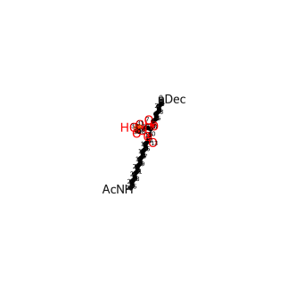 CCCCCCCCCCCCCCCC(=O)O[C@H](COC(=O)CCCCCCCCCCCCNC(C)=O)COP(=O)(O)O